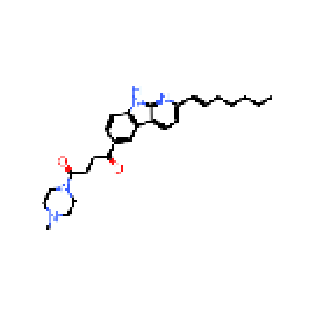 CCCCCC=Cc1ccc2c(n1)[nH]c1ccc(C(=O)CCC(=O)N3CCN(C)CC3)cc12